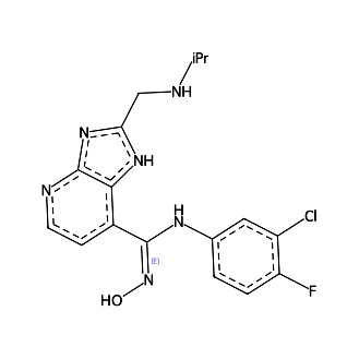 CC(C)NCc1nc2nccc(/C(=N\O)Nc3ccc(F)c(Cl)c3)c2[nH]1